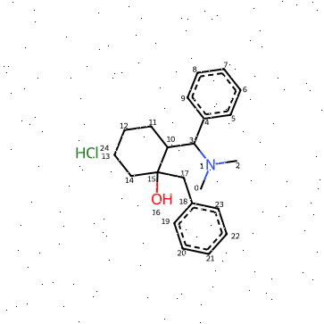 CN(C)C(c1ccccc1)C1CCCCC1(O)Cc1ccccc1.Cl